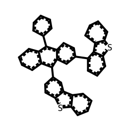 c1ccc(-c2c3ccccc3c(-c3ccc4sc5ccccc5c4c3)c3cc(-c4cccc5sc6ccccc6c45)ccc23)cc1